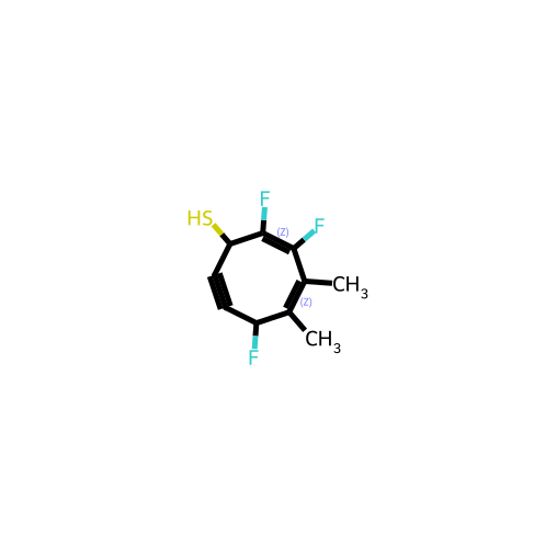 CC1=C(\C)C(F)C#CC(S)/C(F)=C\1F